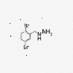 NNCc1cc(Br)ccc1Br